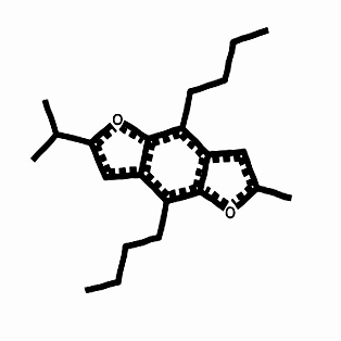 CCCCc1c2cc(C(C)C)oc2c(CCCC)c2cc(C)oc12